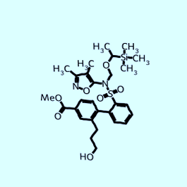 COC(=O)c1ccc(-c2ccccc2S(=O)(=O)N(COC(C)[Si](C)(C)C)c2onc(C)c2C)c(CCCO)c1